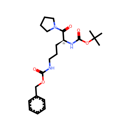 CC(C)(C)OC(=O)N[C@@H](CCCNC(=O)OCc1ccccc1)C(=O)N1CCCC1